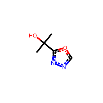 CC(C)(O)c1nn[c]o1